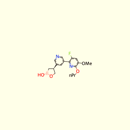 CCCOc1nc(-c2cncc([C@H]3COB(O)C3)c2)c(F)cc1OC